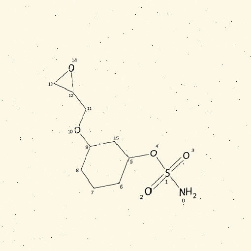 NS(=O)(=O)OC1CCCC(OCC2CO2)C1